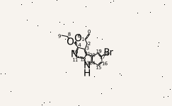 C=CCc1c(C(=O)OCC)ncc2[nH]c3ccc(Br)cc3c12